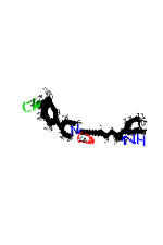 O=C(CCCc1c[nH]c2ccccc12)N1CCC(c2ccc(Cl)cc2)CC1